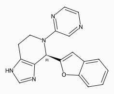 c1ccc2oc([C@H]3c4nc[nH]c4CCN3c3cnccn3)cc2c1